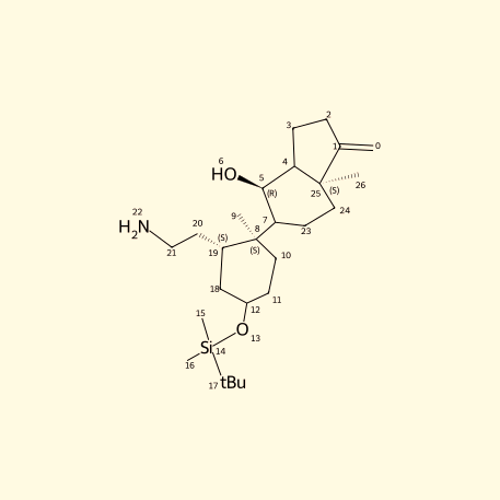 C=C1CCC2[C@H](O)C([C@@]3(C)CCC(O[Si](C)(C)C(C)(C)C)C[C@@H]3CCN)CC[C@]12C